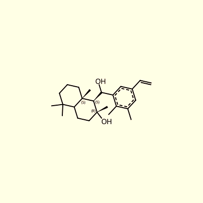 C=Cc1cc(C)c(C)c(C(O)[C@@H]2[C@@]3(C)CCCC(C)(C)C3CC[C@@]2(C)O)c1